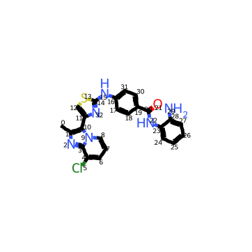 Cc1nc2c(Cl)cccn2c1-c1csc(Nc2ccc(C(=O)Nc3ccccc3N)cc2)n1